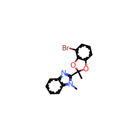 Cn1c(C2(C)Oc3cccc(Br)c3O2)nc2ccccc21